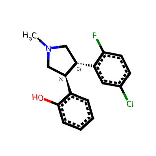 CN1C[C@H](c2ccccc2O)[C@@H](c2cc(Cl)ccc2F)C1